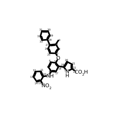 Cc1cc(Oc2ccc(Nc3ccccc3[N+](=O)[O-])cc2-c2ccc(C(=O)O)[nH]2)ccc1-c1ccccc1